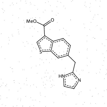 COC(=O)c1csc2cc(Cc3ncc[nH]3)ccc12